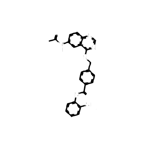 CC(=O)Nc1ccc2ncnc(NCc3ccc(C(=O)Nc4ccccc4N)cc3)c2c1